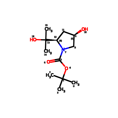 CC(C)(C)OC(=O)N1C[C@H](O)C[C@@H]1C(C)(C)O